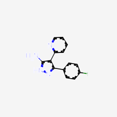 Nc1[nH]nc(-c2ccc(F)cc2)c1-c1ccccn1